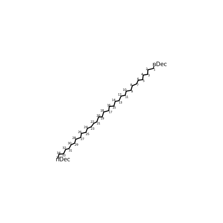 CCCCCCCCCCCCCCCCCCCCCCCCCCCCCCCCCCCCCCCCCCCCCCCCCCCCCC